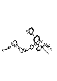 N#Cc1nccc(N2CCN(Cc3ccc(-n4c(-c5cccnc5N)nc5ccc(-c6cccnc6)nc54)cc3)CC2)n1